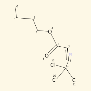 CCCCOC(=O)/C=C\C(Cl)(Cl)Cl